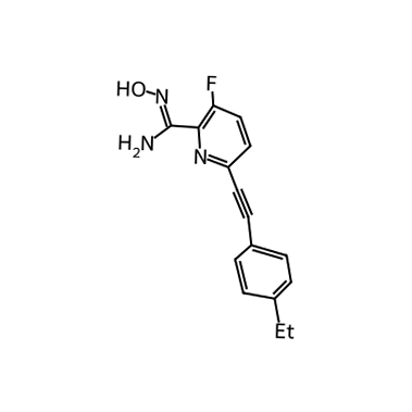 CCc1ccc(C#Cc2ccc(F)c(/C(N)=N/O)n2)cc1